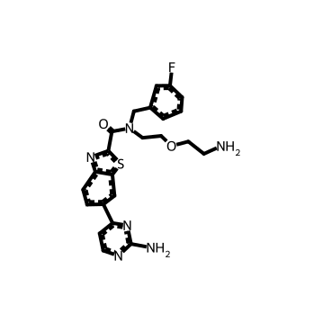 NCCOCCN(Cc1cccc(F)c1)C(=O)c1nc2ccc(-c3ccnc(N)n3)cc2s1